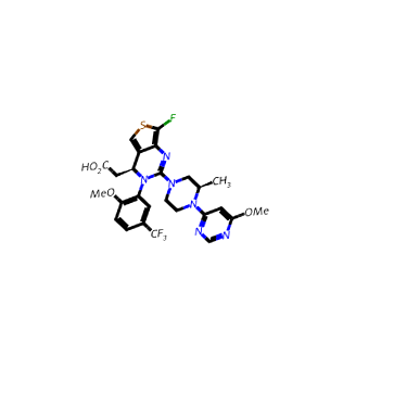 COc1cc(N2CCN(C3=Nc4c(csc4F)[C@H](CC(=O)O)N3c3cc(C(F)(F)F)ccc3OC)C[C@H]2C)ncn1